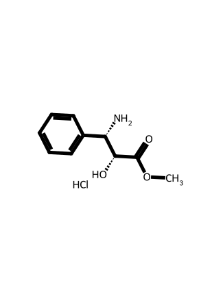 COC(=O)[C@H](O)[C@@H](N)c1ccccc1.Cl